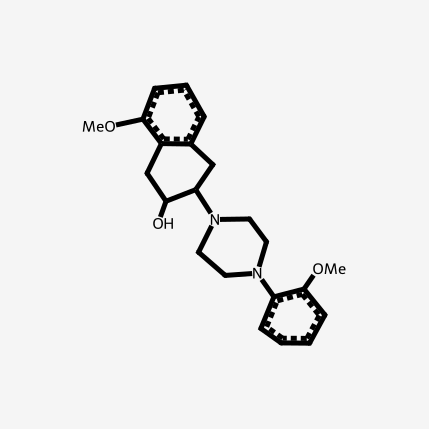 COc1ccccc1N1CCN(C2Cc3cccc(OC)c3CC2O)CC1